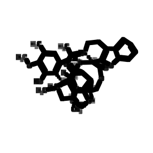 COc1c(C)cc(C)c([C@@H]2[C@@H]3[C@@H]4S[C@]5(NCCc6c5oc5ccccc65)C(=O)OC[C@@H](c5c6c(c(C)c(OC(C)=O)c54)OCO6)N3[C@@](C)(O)CN2C)c1O